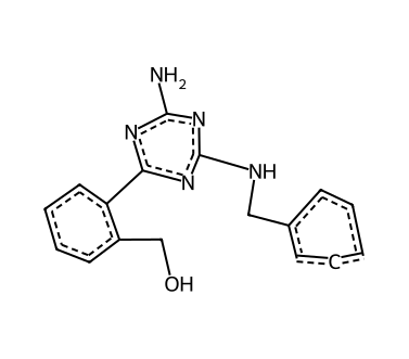 Nc1nc(NCc2ccccc2)nc(-c2ccccc2CO)n1